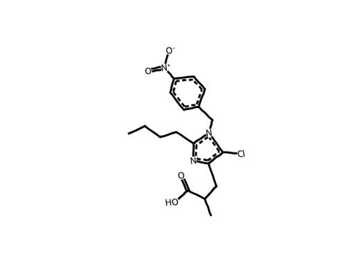 CCCCc1nc(CC(C)C(=O)O)c(Cl)n1Cc1ccc([N+](=O)[O-])cc1